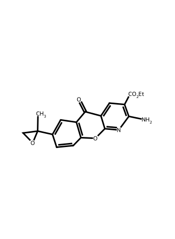 CCOC(=O)c1cc2c(=O)c3cc(C4(C)CO4)ccc3oc2nc1N